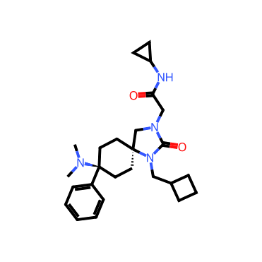 CN(C)[C@]1(c2ccccc2)CC[C@]2(CC1)CN(CC(=O)NC1CC1)C(=O)N2CC1CCC1